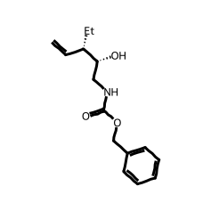 C=C[C@H](CC)[C@H](O)CNC(=O)OCc1ccccc1